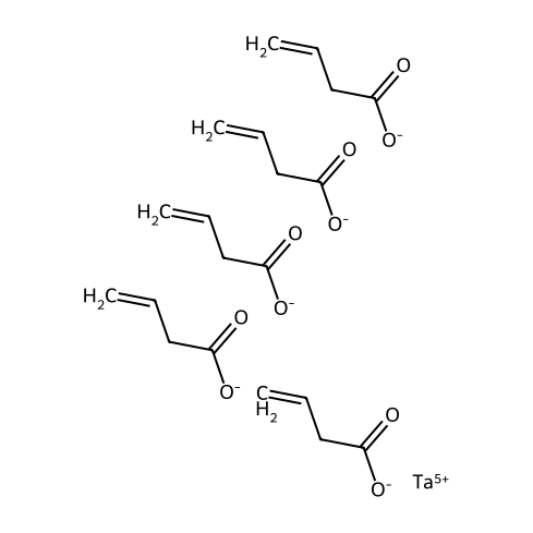 C=CCC(=O)[O-].C=CCC(=O)[O-].C=CCC(=O)[O-].C=CCC(=O)[O-].C=CCC(=O)[O-].[Ta+5]